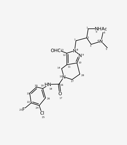 CC(=O)NCC(CN(C)C)Cn1nc2c(c1C=O)CN(C(=O)Nc1ccc(F)c(Cl)c1)CC2